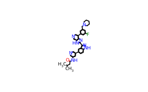 CC(C)CC(=O)Nc1cncc(-c2ccc3[nH]nc(-c4nc5c(-c6cc(F)cc(CN7CCCCC7)c6)cncc5[nH]4)c3c2)c1